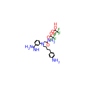 N=C(N)c1cccc(N(CCCCc2ccc(N)cc2)CC(N)=O)c1.O=C(O)C(F)(F)F.O=C(O)C(F)(F)F